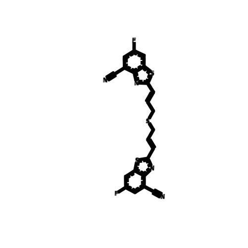 N#Cc1cc(F)cc2sc(C=CCSCC=Cc3nc4c(C#N)cc(F)cc4s3)nc12